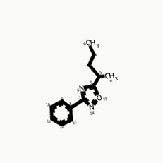 CCCC(C)c1nc(-c2ccccc2)no1